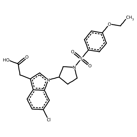 CCOc1ccc(S(=O)(=O)N2CCC(n3cc(CC(=O)O)c4ccc(Cl)cc43)C2)cc1